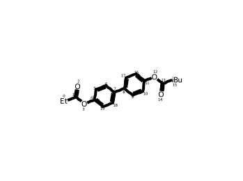 CCC(=O)Oc1ccc(-c2ccc(OC(=O)C(C)CC)cc2)cc1